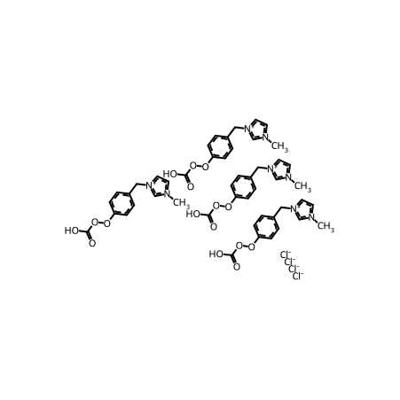 Cn1cc[n+](Cc2ccc(OOC(=O)O)cc2)c1.Cn1cc[n+](Cc2ccc(OOC(=O)O)cc2)c1.Cn1cc[n+](Cc2ccc(OOC(=O)O)cc2)c1.Cn1cc[n+](Cc2ccc(OOC(=O)O)cc2)c1.[Cl-].[Cl-].[Cl-].[Cl-]